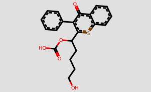 O=C(O)OC(CCCCO)c1sc2ccccc2c(=O)c1-c1ccccc1